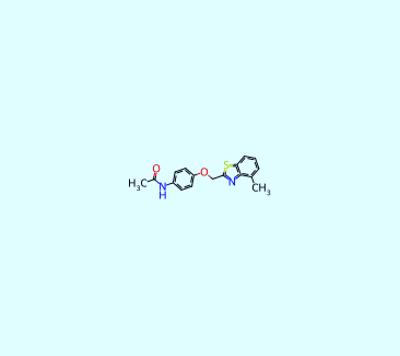 CC(=O)Nc1ccc(OCc2nc3c(C)cccc3s2)cc1